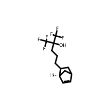 OC(CCCC1CC2C=C[C@@H]1C2)(C(F)(F)F)C(F)(F)F